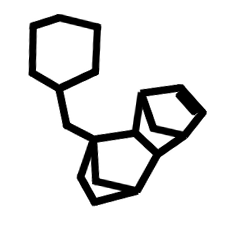 C1=CC2CC1C1C3CCC(CC4CCCCC4)(C3)C21